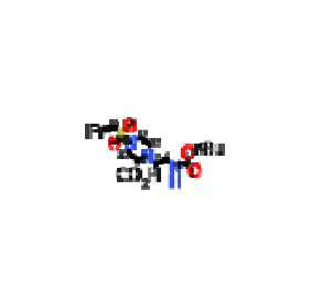 CCCCOC(=O)NCC(C(=O)O)N1CCN(S(=O)(=O)CC(C)C)CC1